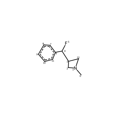 CN1CC(C(F)c2ccccc2)C1